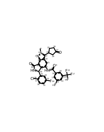 Cn1nc2c3c(c(NC(=O)c4cc(F)cc(C(F)(F)F)c4)cc2c1C1CCC(=O)C1)C(c1cc(F)ccc1Cl)NC3=O